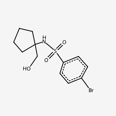 O=S(=O)(NC1(CO)CCCC1)c1ccc(Br)cc1